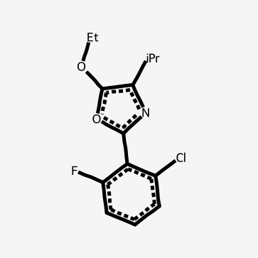 CCOc1oc(-c2c(F)cccc2Cl)nc1C(C)C